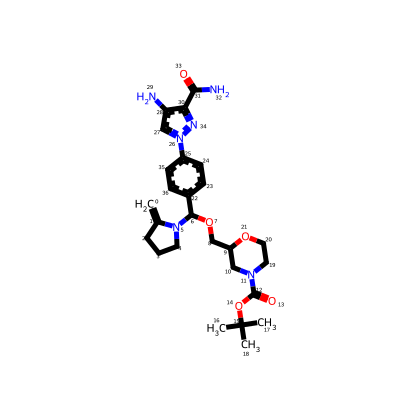 C=C1CCCN1C(OCC1CN(C(=O)OC(C)(C)C)CCO1)c1ccc(-n2cc(N)c(C(N)=O)n2)cc1